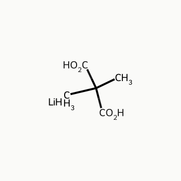 CC(C)(C(=O)O)C(=O)O.[LiH]